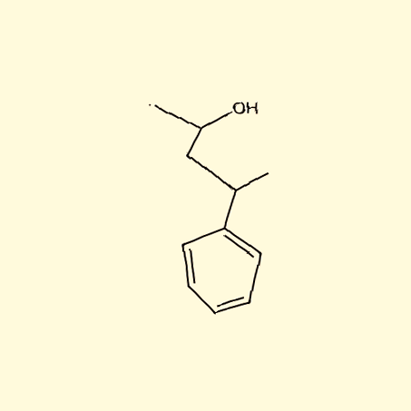 [CH2]C(O)CC(C)c1ccccc1